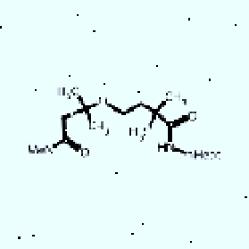 CCCCCCCNC(=O)C(C)(C)CCOC(C)(C)CC(=O)NC